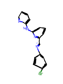 Brc1ccc(/N=C/c2cccc(Nc3ccccn3)n2)cc1